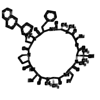 CCC(C)C1NC(=O)C2CCCN2C(=O)C(Cc2cccc(-c3ccc4ccccc4c3)c2)N(C)C(=O)C(Cc2ccccc2)NC(=O)[C@H](C)N(C)C(=O)C([C@H](C)CC)OC(=O)C(C(C)(C)O)N(C)C(=O)C(CC(C)C)NC(=O)[C@H](C)N(C)C1=O